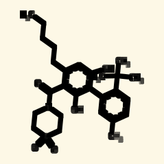 CCCCCc1cc(O)c(-c2cc(C)ccc2C(C)(C)C)c(O)c1C(=O)N1CCS(=O)(=O)CC1